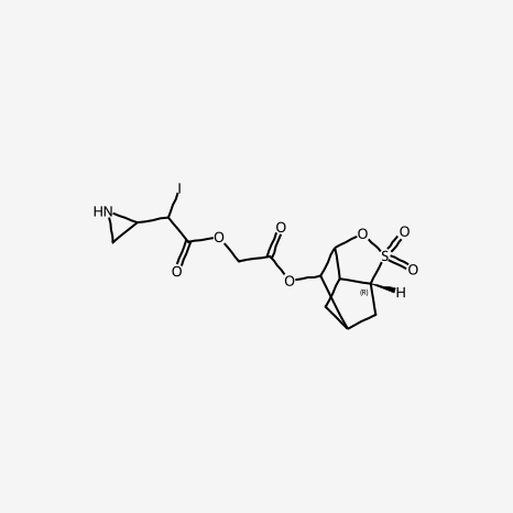 O=C(COC(=O)C(I)C1CN1)OC1C2CC3C1OS(=O)(=O)[C@@H]3C2